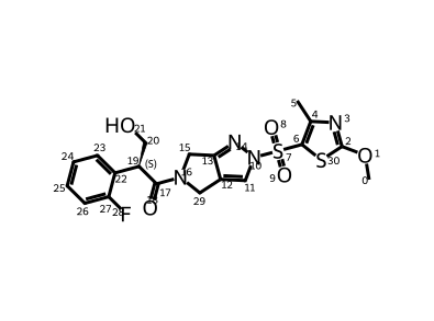 COc1nc(C)c(S(=O)(=O)n2cc3c(n2)CN(C(=O)[C@H](CO)c2ccccc2F)C3)s1